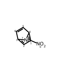 O=[N+]([O-])c1cc2ccc1[nH]2